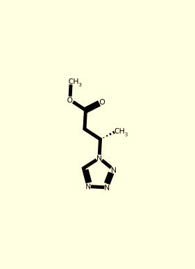 COC(=O)C[C@H](C)n1cnnn1